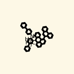 CC1(C)c2c(cccc2N(c2ccc(-c3ccccc3)cc2)c2ccc(-c3ccccc3)cc2)-c2c(-c3cc4ccccc4c4ccccc34)ccc3cccc1c23